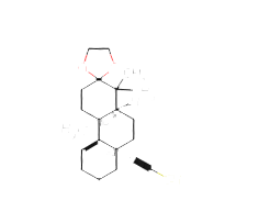 CC1(C)[C@@H]2CC[C@@]3(C#CS)CCCC=C3[C@@]2(C)CCC12OCCO2